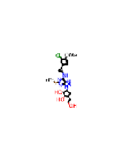 CCCSc1nc(NC2CC2c2ccc(OC)c(Cl)c2)c2nnn([C@@H]3C[C@H](CCO)[C@@H](O)[C@H]3O)c2n1